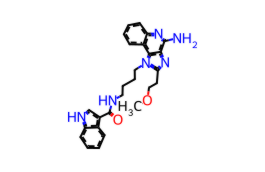 COCCc1nc2c(N)nc3ccccc3c2n1CCCCNC(=O)c1c[nH]c2ccccc12